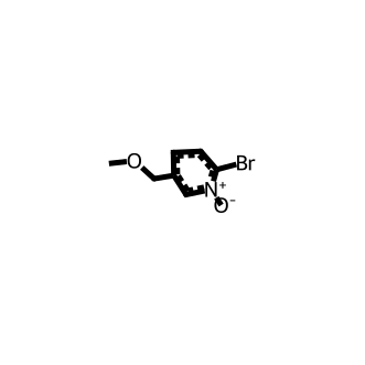 COCc1ccc(Br)[n+]([O-])c1